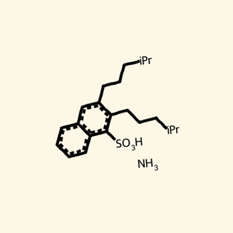 CC(C)CCCc1cc2ccccc2c(S(=O)(=O)O)c1CCCC(C)C.N